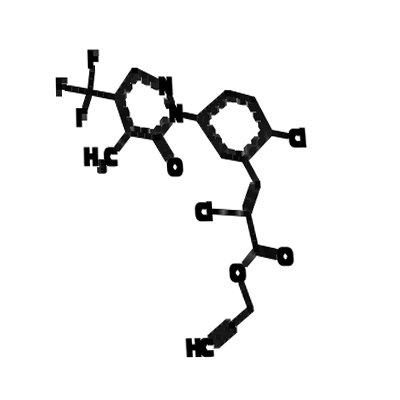 C#CCOC(=O)C(Cl)=Cc1cc(-n2ncc(C(F)(F)F)c(C)c2=O)ccc1Cl